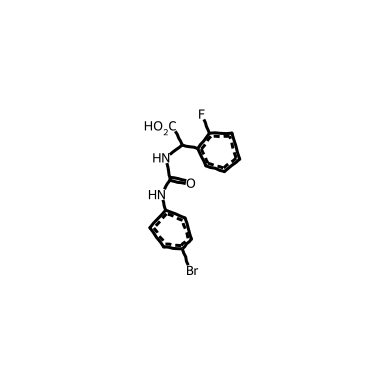 O=C(Nc1ccc(Br)cc1)NC(C(=O)O)c1ccccc1F